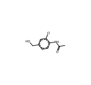 CC(=O)Nc1ccc(CO)cc1Cl